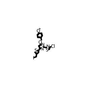 COc1ccc(COc2cc(-c3cc(CI)cs3)nc(-c3nc(Cl)cs3)n2)cc1